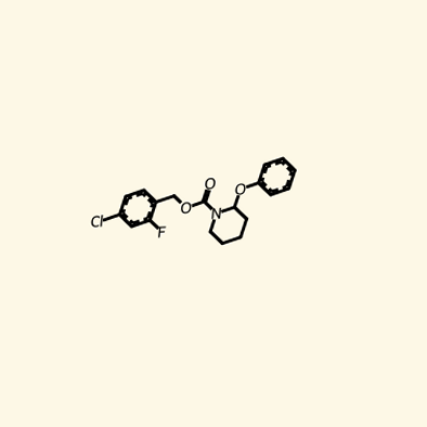 O=C(OCc1ccc(Cl)cc1F)N1CCCCC1Oc1ccccc1